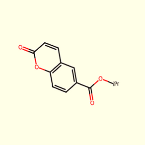 CC(C)OC(=O)c1ccc2oc(=O)ccc2c1